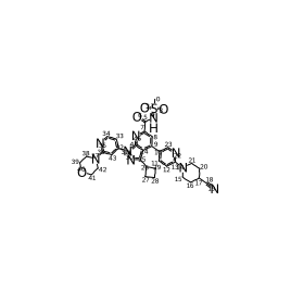 CS(=O)(=O)NC(=O)c1cc(-c2ccc(N3CCC(C#N)CC3)nc2)c2c(C3CCC3)nn(-c3ccnc(N4CCOCC4)c3)c2n1